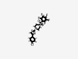 O=S(=O)(c1c(F)c(F)c(F)c(F)c1F)N1CCN(c2nc(-c3ccc(Cl)cc3)cs2)CC1